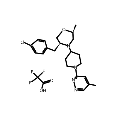 Cc1cnnc(N2CCC(N3C[C@H](C)OC[C@@H]3Cc3ccc(Cl)cc3)CC2)c1.O=C(O)C(F)(F)F